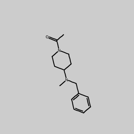 CC(=O)N1CCC(N(C)Cc2ccccc2)CC1